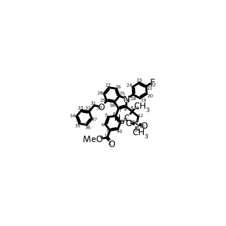 COC(=O)c1ccc(-c2c(C(C)(C)CS(C)(=O)=O)n(-c3ccc(F)cc3)c3cccc(OCc4ccccc4)c23)cc1